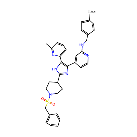 COc1ccc(CNc2cc(-c3nc(C4CCN(S(=O)(=O)Cc5ccccc5)CC4)[nH]c3-c3cccc(C)n3)ccn2)cc1